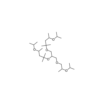 CC(C)OC(C)COCC(COC(C)(C)CC(C)OC(C)C)OC(C)(C)CC(C)OC(C)C